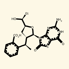 CC[C@H](O)[C@@H]1C[C@@H]([C@@H](C)c2ccccc2C(=O)O)[C@H](n2c(=O)sc3c(=O)[nH]c(N)nc32)O1